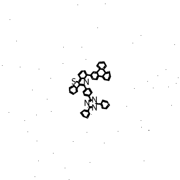 c1ccc(-c2nc(-c3ccccc3)nc(-c3ccc(-c4nc5c(-c6ccc7c8ccccc8c8ccccc8c7c6)cccc5c5sc6ccccc6c45)cc3)n2)cc1